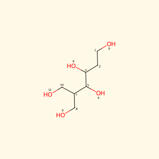 OCCC(O)C(O)C(CO)CO